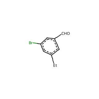 CCc1cc(Br)cc(C=O)c1